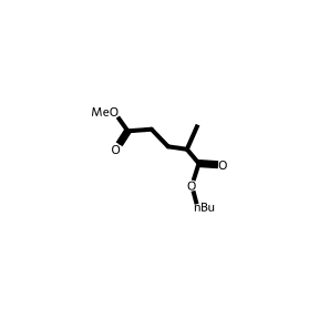 CCCCOC(=O)C(C)CCC(=O)OC